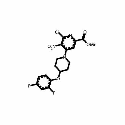 COC(=O)c1cc(N2CCC(Oc3ccc(F)cc3F)CC2)c([N+](=O)[O-])c(Cl)n1